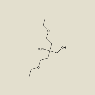 CCOCCC(N)(CO)CCOCC